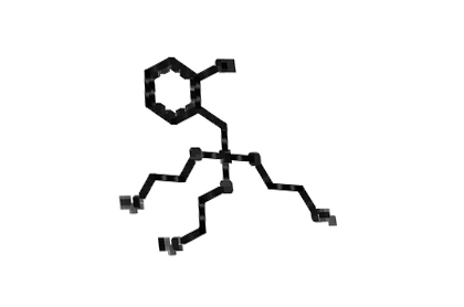 CCCO[Si](Cc1ccccc1O)(OCCC)OCCC